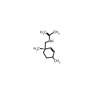 C=C(C)NC[C@]1(C)C=CC(C)CC1